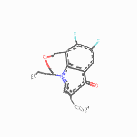 CCC1OCc2c(F)c(F)cc3c(=O)c(C(=O)O)cn1c23